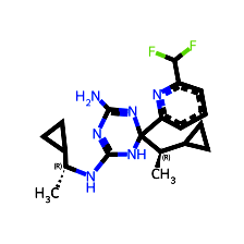 C[C@H](C1CC1)C1(c2cccc(C(F)F)n2)N=C(N)N=C(N[C@H](C)C2CC2)N1